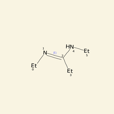 CC/N=C(\CC)NCC